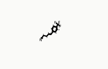 N#CCC/C=C/c1ccc(C(F)(F)F)cc1